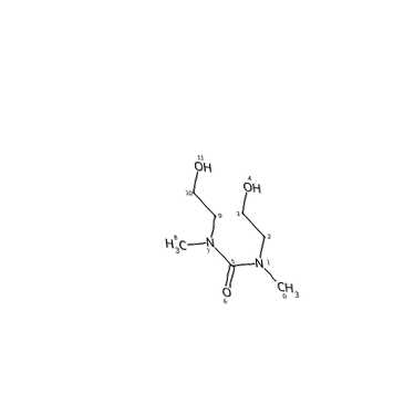 CN(CCO)C(=O)N(C)CCO